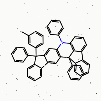 Cc1cccc(C2(c3ccccc3)c3ccccc3-c3cc4c(cc32)N(c2ccccc2)c2cccc3c2C4(c2ccccc2)c2ccccc2-3)c1